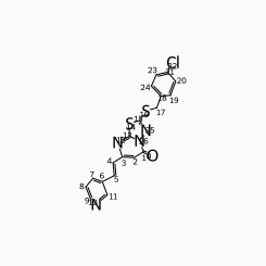 O=c1cc(/C=C/c2cccnc2)nc2sc(SCc3ccc(Cl)cc3)nn12